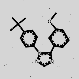 COc1cccc(-c2ncnn2-c2ccc(C(C)(C)C)cc2)c1